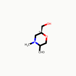 CN1C[C@@H](CO)OCC1C=O